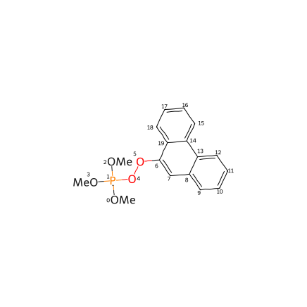 CO[P](OC)(OC)OOc1cc2ccccc2c2ccccc12